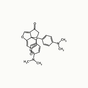 CN(C)c1ccc(S2(c3ccc(N(C)C)cc3)CC(=O)C3=COC4=CC(Cl)=CCC432)cc1